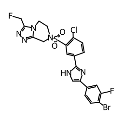 O=S(=O)(c1cc(-c2nc(-c3ccc(Br)c(F)c3)c[nH]2)ccc1Cl)N1CCn2c(CF)nnc2C1